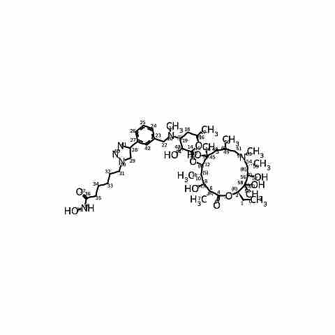 CC[C@H]1OC(=O)[C@H](C)[C@@H](O)[C@H](C)[C@@H](O[C@@H]2O[C@H](C)C[C@H](N(C)Cc3cccc(C4CN(CCCCCC(=O)NO)N=N4)c3)[C@@H]2O)[C@](C)(O)C[C@@H](C)CN(C)[C@H](C)[C@@H](O)[C@]1(C)O